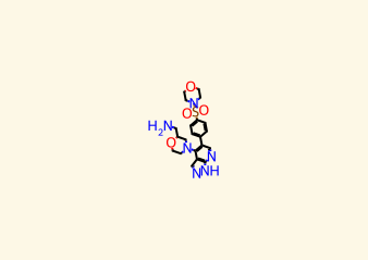 NCC1CN(c2c(-c3ccc(S(=O)(=O)N4CCOCC4)cc3)cnc3[nH]ncc23)CCO1